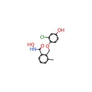 Cc1cccc(C(=O)NO)c1COc1ccc(O)cc1Cl